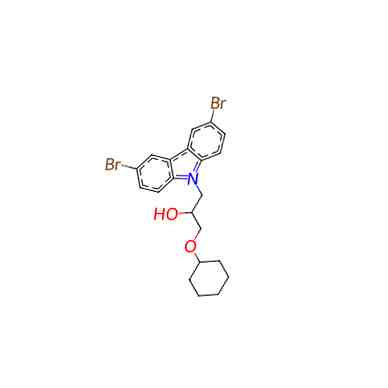 OC(COC1CCCCC1)Cn1c2ccc(Br)cc2c2cc(Br)ccc21